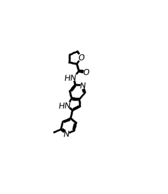 Cc1cc(-c2cc3cnc(NC(=O)C4CCCO4)cc3[nH]2)ccn1